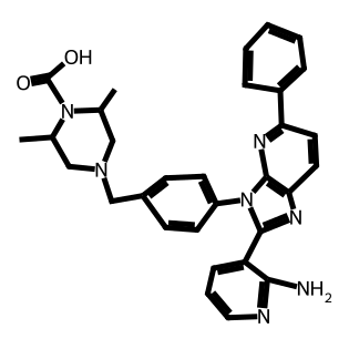 CC1CN(Cc2ccc(-n3c(-c4cccnc4N)nc4ccc(-c5ccccc5)nc43)cc2)CC(C)N1C(=O)O